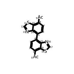 CC(=O)c1ccc(-c2ccc(C(C)=O)c3scnc23)c2ncsc12